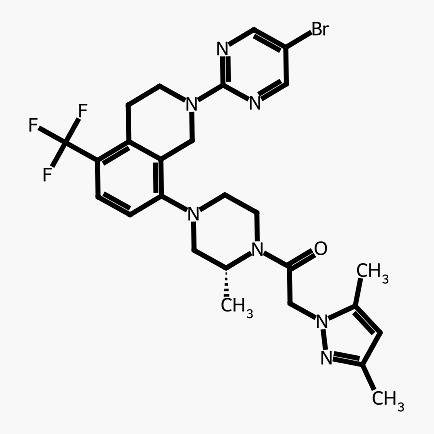 Cc1cc(C)n(CC(=O)N2CCN(c3ccc(C(F)(F)F)c4c3CN(c3ncc(Br)cn3)CC4)C[C@H]2C)n1